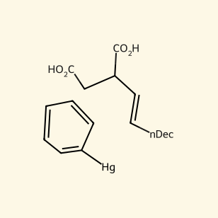 CCCCCCCCCCC=CC(CC(=O)O)C(=O)O.[Hg][c]1ccccc1